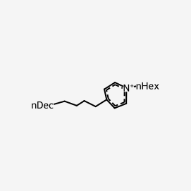 CCCCCCCCCCCCCCc1cc[n+](CCCCCC)cc1